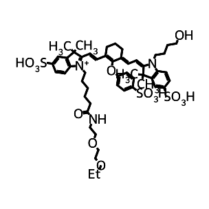 CCOCCOCCNC(=O)CCCCC[N+]1=C(/C=C/C2=C(Oc3ccc(S(=O)(=O)O)cc3)C(=C/C=C3/N(CCCCO)c4ccc(S(=O)(=O)O)cc4C3(C)C)/CCC2)C(C)(C)c2cc(S(=O)(=O)O)ccc21